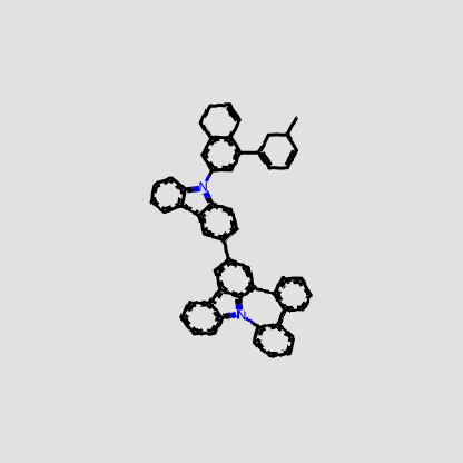 CC1C=CC=C(c2cc(-n3c4ccccc4c4cc(-c5cc6c7c(c5)c5ccccc5n7-c5ccccc5-c5ccccc5-6)ccc43)cc3c2C=CCC3)C1